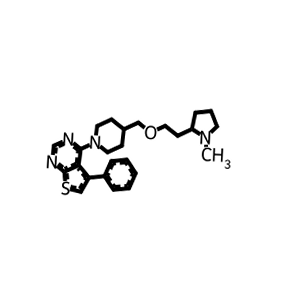 CN1CCCC1CCOCC1CCN(c2ncnc3scc(-c4ccccc4)c23)CC1